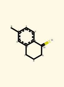 Cc1ccc2c(c1)CCCC2=S